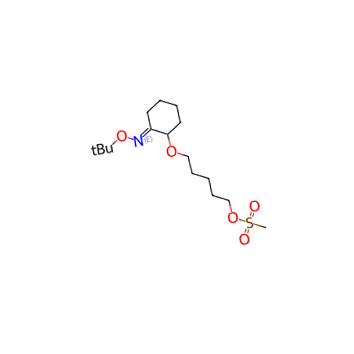 CC(C)(C)O/N=C1\CCCCC1OCCCCCOS(C)(=O)=O